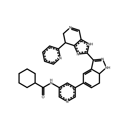 O=C(Nc1cncc(C2=CCC3NN=C(c4nc5c([nH]4)C=NCC5c4ccccn4)C3=C2)c1)C1CCCCC1